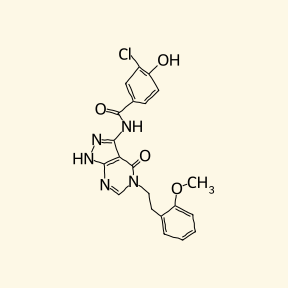 COc1ccccc1CCn1cnc2[nH]nc(NC(=O)c3ccc(O)c(Cl)c3)c2c1=O